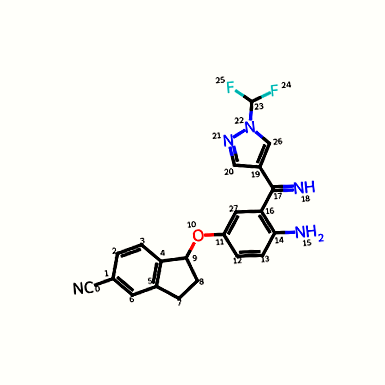 N#Cc1ccc2c(c1)CCC2Oc1ccc(N)c(C(=N)c2cnn(C(F)F)c2)c1